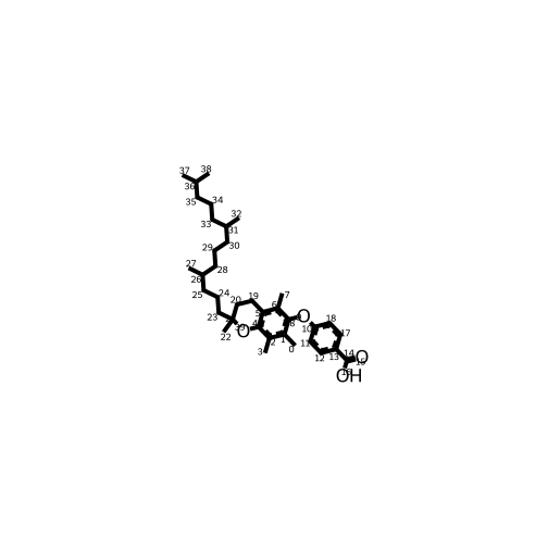 Cc1c(C)c2c(c(C)c1Oc1ccc(C(=O)O)cc1)CCC(C)(CCCC(C)CCCC(C)CCCC(C)C)O2